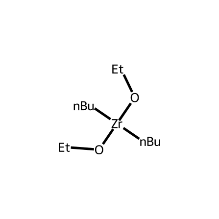 CCC[CH2][Zr]([CH2]CCC)([O]CC)[O]CC